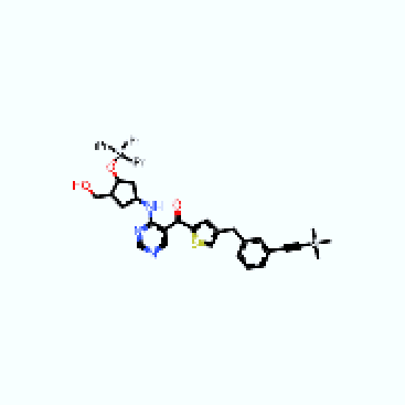 CC(C)[Si](OC1CC(Nc2ncncc2C(=O)c2cc(Cc3cccc(C#C[Si](C)(C)C)c3)cs2)CC1CO)(C(C)C)C(C)C